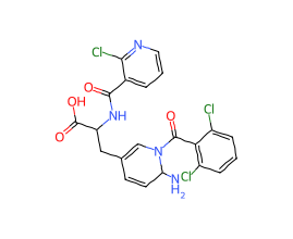 NC1C=CC(CC(NC(=O)c2cccnc2Cl)C(=O)O)=CN1C(=O)c1c(Cl)cccc1Cl